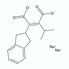 CC(C)/C(C(=O)[O-])=C(/C(=O)[O-])C1Cc2ccccc2C1.[Na+].[Na+]